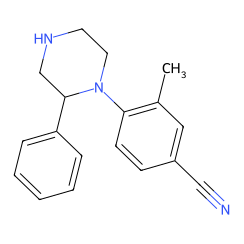 Cc1cc(C#N)ccc1N1CCNCC1c1ccccc1